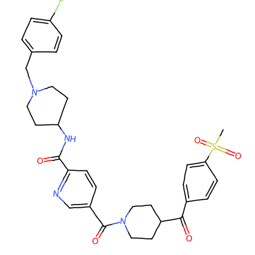 CS(=O)(=O)c1ccc(C(=O)C2CCN(C(=O)c3ccc(C(=O)NC4CCN(Cc5ccc(F)cc5)CC4)nc3)CC2)cc1